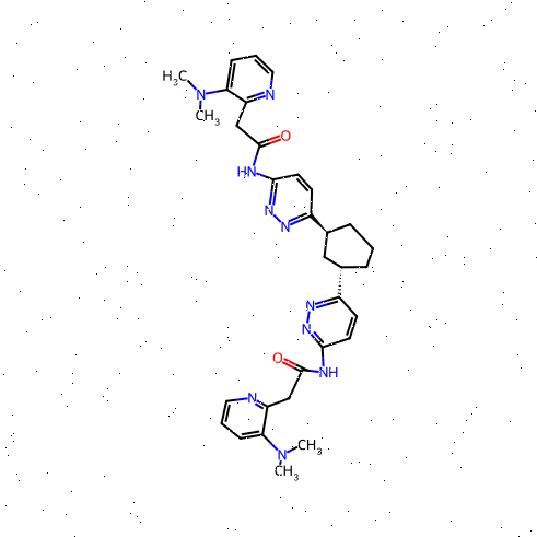 CN(C)c1cccnc1CC(=O)Nc1ccc([C@H]2CCC[C@H](c3ccc(NC(=O)Cc4ncccc4N(C)C)nn3)C2)nn1